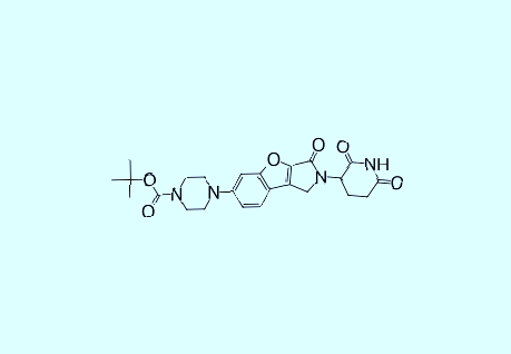 CC(C)(C)OC(=O)N1CCN(c2ccc3c4c(oc3c2)C(=O)N(C2CCC(=O)NC2=O)C4)CC1